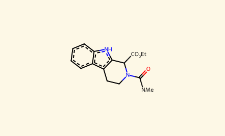 CCOC(=O)C1c2[nH]c3ccccc3c2CCN1C(=O)NC